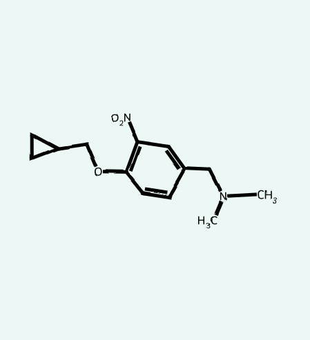 CN(C)Cc1ccc(OCC2CC2)c([N+](=O)[O-])c1